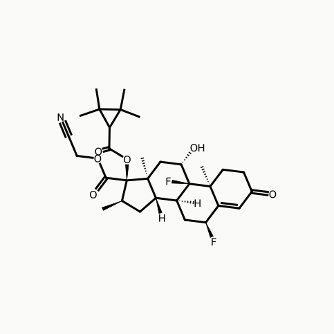 C[C@@H]1C[C@H]2[C@@H]3C[C@H](F)C4=CC(=O)CC[C@]4(C)[C@@]3(F)[C@@H](O)C[C@]2(C)[C@@]1(OC(=O)C1C(C)(C)C1(C)C)C(=O)OCC#N